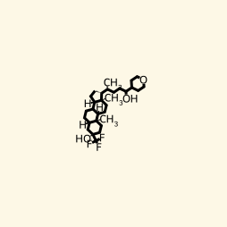 C[C@H](CCC(O)C1CCOCC1)[C@H]1CC[C@H]2C3CC[C@H]4C[C@](O)(C(F)(F)F)CC[C@]4(C)[C@H]3CC[C@]12C